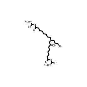 CCCCCCCCC(CC)OC(=O)CCCCCCCN(CCCO)CC(O)CCCCCC(=O)OC(CC)CCCCCCCC